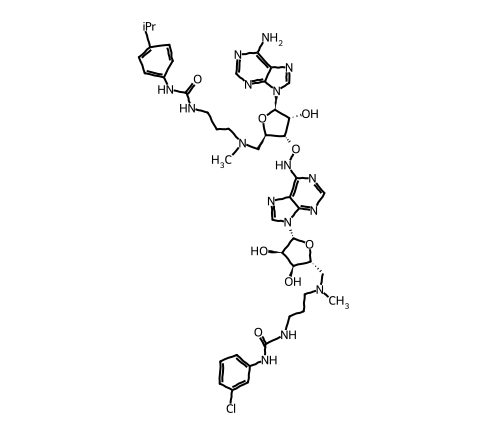 CC(C)c1ccc(NC(=O)NCCCN(C)C[C@H]2O[C@@H](n3cnc4c(N)ncnc43)[C@H](O)[C@@H]2ONc2ncnc3c2ncn3[C@@H]2O[C@H](CN(C)CCCNC(=O)Nc3cccc(Cl)c3)[C@@H](O)[C@H]2O)cc1